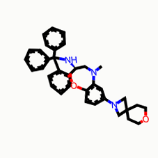 CN1C[C@H](NC(c2ccccc2)(c2ccccc2)c2ccccc2)COc2ccc(N3CC4(CCOCC4)C3)cc21